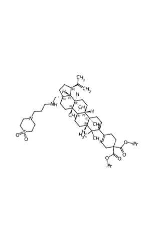 C=C(C)[C@@H]1CC[C@]2(CNCCCN3CCS(=O)(=O)CC3)CC[C@]3(C)[C@H](CC[C@@H]4[C@@]5(C)CC=C(C6=CCC(C(=O)OC(C)C)(C(=O)OC(C)C)CC6)C(C)(C)[C@@H]5CC[C@]43C)[C@@H]12